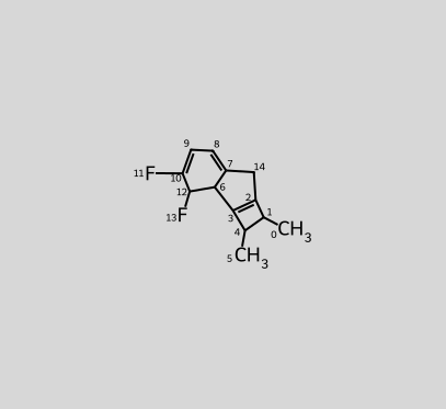 CC1C2=C(C1C)C1C(=CC=C(F)C1F)C2